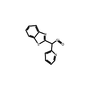 O=[S+]C(c1ccccn1)c1nc2ccccc2s1